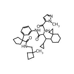 Cn1nccc1C(=O)N[C@H](C(=O)Nc1cccc(C2(C(=O)NCC3(C)CCC3)CCCC2)c1)C(C1CC1)C1CCCCC12CC2